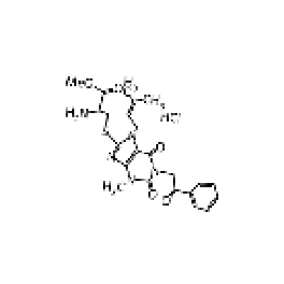 COC(=O)C(N)CSc1nc2c(c(=O)n(CC(=O)c3ccccc3)c(=O)n2C)n1CC=C(C)C.Cl